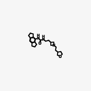 O=C(NCCC1CN(CCC2CCOC2)C1)Nc1c2c(cc3c1CCC3)CCC2